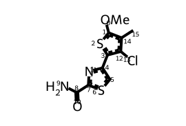 COc1sc(-c2csc(C(N)=O)n2)c(Cl)c1C